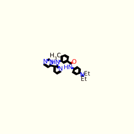 CCN(CC)c1ccc(NC(=O)c2ccc(C)c(Nc3ncccc3-c3ccncn3)c2)cc1